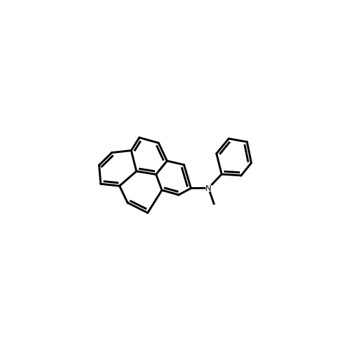 CN(c1ccccc1)c1cc2ccc3cccc4ccc(c1)c2c34